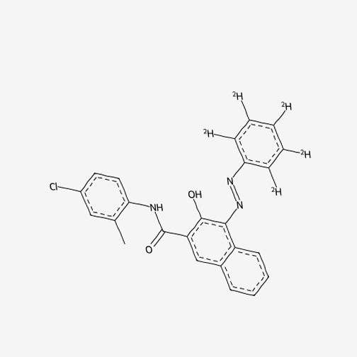 [2H]c1c([2H])c([2H])c(/N=N/c2c(O)c(C(=O)Nc3ccc(Cl)cc3C)cc3ccccc23)c([2H])c1[2H]